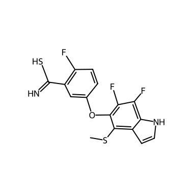 CSc1c(Oc2ccc(F)c(C(=N)S)c2)c(F)c(F)c2[nH]ccc12